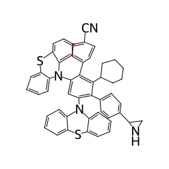 N#Cc1ccc(-c2c(N3c4ccccc4Sc4ccccc43)cc(N3c4ccccc4Sc4ccccc43)c(-c3ccc(C4CN4)cc3)c2C2CCCCC2)cc1